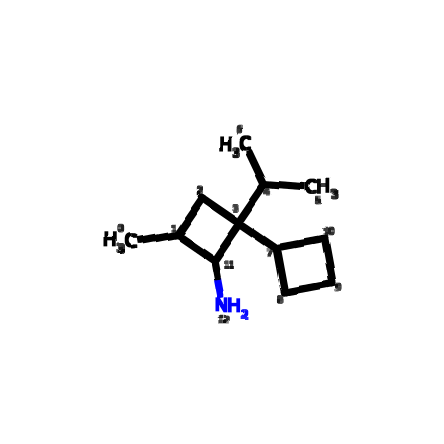 CC1CC(C(C)C)(C2CCC2)C1N